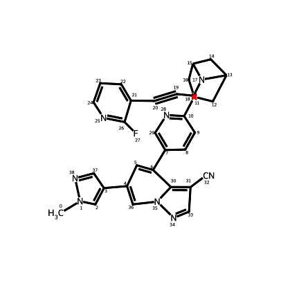 Cn1cc(-c2cc(-c3ccc(N4CC5CC(C4)N5CC#Cc4cccnc4F)nc3)c3c(C#N)cnn3c2)cn1